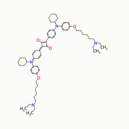 CCN(CC)CCCCCCOc1ccc(N(c2ccc(C3=C([O-])C(=C4C=CC(=[N+](c5ccc(OCCCCCCN(CC)CC)cc5)C5CCCCC5)C=C4)C3=O)cc2)C2CCCCC2)cc1